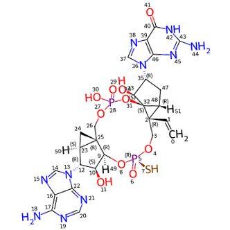 C=C[C@@]12CO[P@@](=O)(S)O[C@H]3[C@@H](O)[C@H](n4cnc5c(N)ncnc54)[C@H]4C[C@]43COP(=O)(O)O[C@]13[C@@H](O)[C@H](n1cnc4c(=O)[nH]c(N)nc41)C[C@@H]32